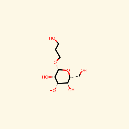 OCCCO[C@@H]1O[C@H](CO)[C@H](O)[C@H](O)[C@H]1O